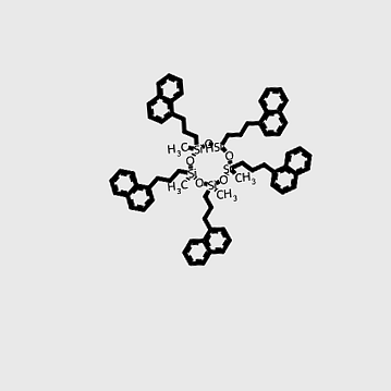 C[Si]1(CCCc2cccc3ccccc23)O[SiH](CCCc2cccc3ccccc23)O[Si](C)(CCCc2cccc3ccccc23)O[Si](C)(CCCc2cccc3ccccc23)O[Si](C)(CCCc2cccc3ccccc23)O1